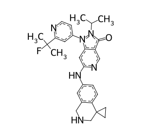 CC(C)n1c(=O)c2cnc(Nc3ccc4c(c3)CNCC43CC3)cc2n1-c1ccnc(C(C)(C)F)c1